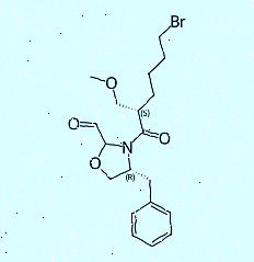 COC[C@H](CCCCBr)C(=O)N1C(C=O)OC[C@H]1Cc1ccccc1